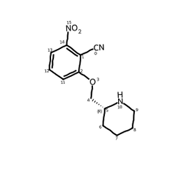 N#Cc1c(OC[C@H]2CCCCN2)cccc1[N+](=O)[O-]